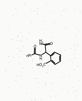 CCCC(=O)NC(C(N)=O)c1ccccc1C(=O)O